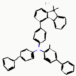 Cc1cc(-c2ccccc2)ccc1N(c1ccc(-c2ccccc2)cc1)c1ccc(-c2cccc3c2-c2ccccc2C3(C)C)cc1